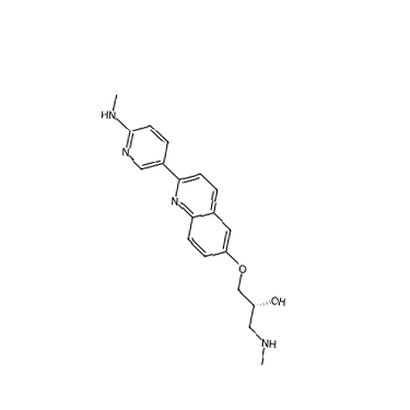 CNC[C@@H](O)COc1ccc2nc(-c3ccc(NC)nc3)ccc2c1